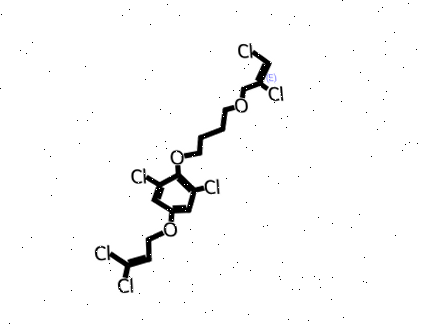 Cl/C=C(/Cl)COCCCCOc1c(Cl)cc(OCC=C(Cl)Cl)cc1Cl